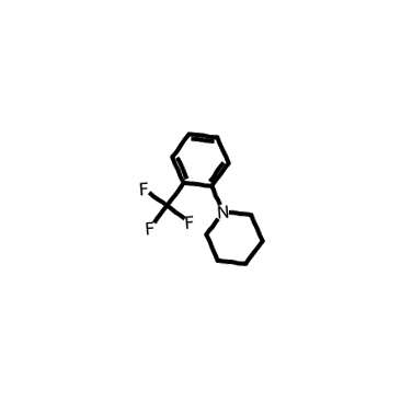 FC(F)(F)c1ccccc1N1CCCCC1